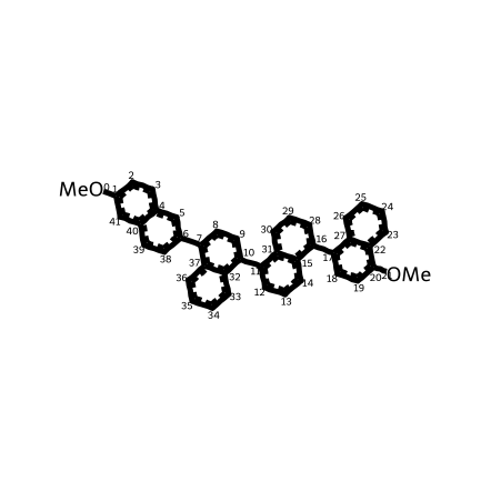 COc1ccc2cc(-c3ccc(-c4cccc5c(-c6ccc(OC)c7ccccc67)cccc45)c4ccccc34)ccc2c1